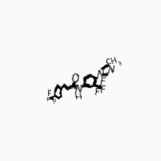 Cc1cn(-c2ccc(NC(=O)CCc3ccc(C(F)(F)F)cc3)cc2C(F)(F)F)cn1